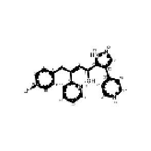 OC(C=C(Cc1ccc(F)cc1)c1ccccn1)c1[nH]ncc1-c1ccncc1